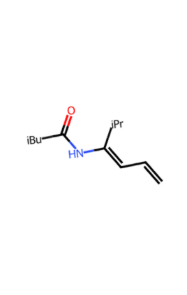 C=C/C=C(/NC(=O)C(C)CC)C(C)C